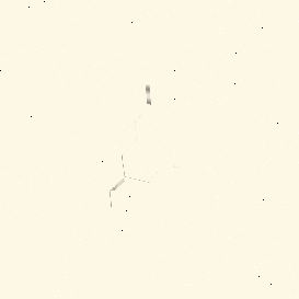 C=CCCCC(=CCC)CCCCCC